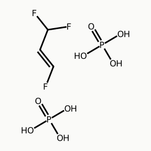 FC=CC(F)F.O=P(O)(O)O.O=P(O)(O)O